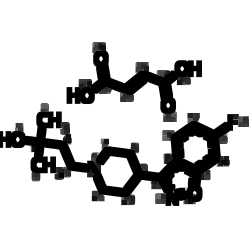 CC(C)(O)CCN1CCC(c2noc3cc(F)ccc23)CC1.O=C(O)C=CC(=O)O